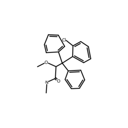 C[N]C(=O)C(OC)C(c1ccccc1)(c1ccccc1)c1ccccc1Cl